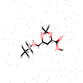 COC(=O)[C@H]1C[C@@H](CO[Si](C)(C)C(C)(C)C)OC(C)(C)O1